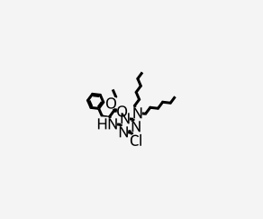 CCCCCCN(CCCCCC)c1nc(Cl)nc(N[C@@H](Cc2ccccc2)C(=O)OCC)n1